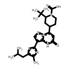 Cc1nc(-c2cnn3c(C4CCN(C(=O)O)C(C(C)(C)C)C4)cc(=O)[nH]c23)sc1CC(C)C